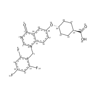 O=c1ncn(Cc2c(F)cc(F)cc2F)c2ccc(O[C@H]3CC[C@H](C(=O)O)CC3)cc12